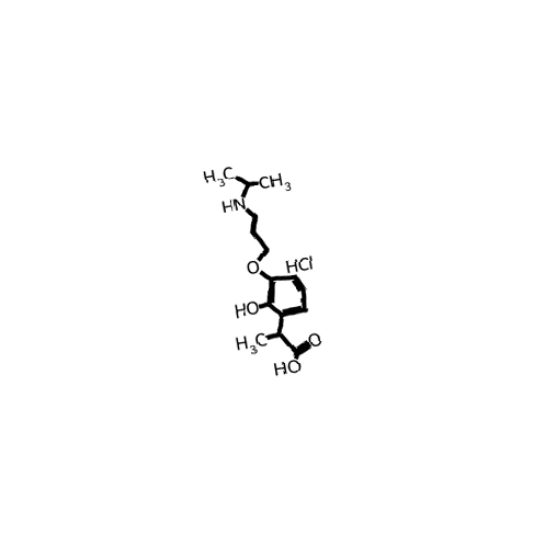 CC(C)NCCCOc1cccc(C(C)C(=O)O)c1O.Cl